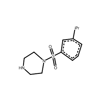 CC(C)c1cccc(S(=O)(=O)N2CCNCC2)c1